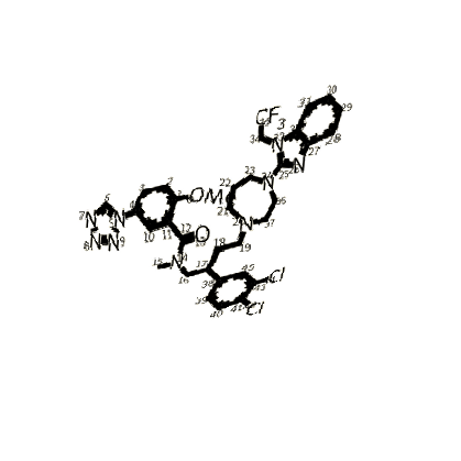 COc1ccc(-n2cnnn2)cc1C(=O)N(C)CC(CCN1CCCN(c2nc3ccccc3n2CC(F)(F)F)CC1)c1ccc(Cl)c(Cl)c1